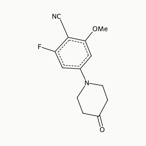 COc1cc(N2CCC(=O)CC2)cc(F)c1C#N